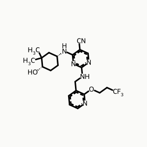 CC1(C)C[C@H](Nc2nc(NCc3cccnc3OCCC(F)(F)F)ncc2C#N)CC[C@@H]1O